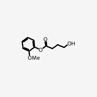 COc1ccccc1OC(=O)CCCO